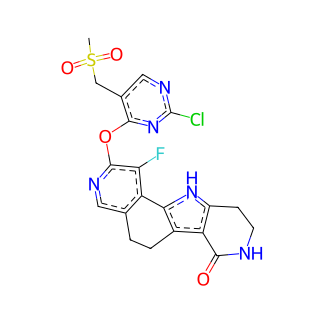 CS(=O)(=O)Cc1cnc(Cl)nc1Oc1ncc2c(c1F)-c1[nH]c3c(c1CC2)C(=O)NCC3